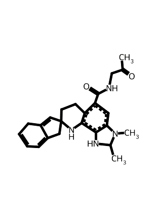 CC(=O)CNC(=O)c1cc2c(c3c1CCC1(C=C4CC=CC=C4C1)N3)NC(C)N2C